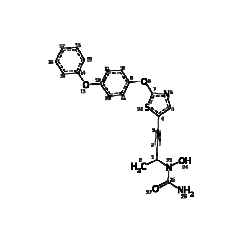 CC(C#Cc1cnc(Oc2ccc(Oc3ccccc3)cc2)s1)N(O)C(N)=O